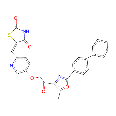 Cc1oc(-c2ccc(-c3ccccc3)cc2)nc1C(=O)COc1ccc(C=C2SC(=O)NC2=O)nc1